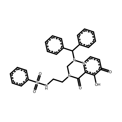 O=C1c2c(O)c(=O)ccn2N(C(c2ccccc2)c2ccccc2)CN1CCNS(=O)(=O)c1ccccc1